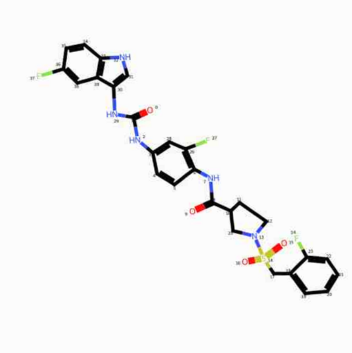 O=C(Nc1ccc(NC(=O)C2CCN(S(=O)(=O)Cc3ccccc3F)C2)c(F)c1)Nc1c[nH]c2ccc(F)cc12